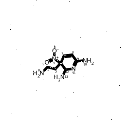 NCCC1([N+](=O)[O-])C=CC(N)=NC1N